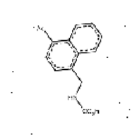 CC(=O)c1ccc(CNC(=O)O)c2ccccc12